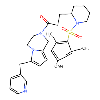 COc1cc(C)c(S(=O)(=O)N2CCCCC2CCC(=O)N2CCn3c(Cc4cccnc4)ccc3C2)c(C)c1